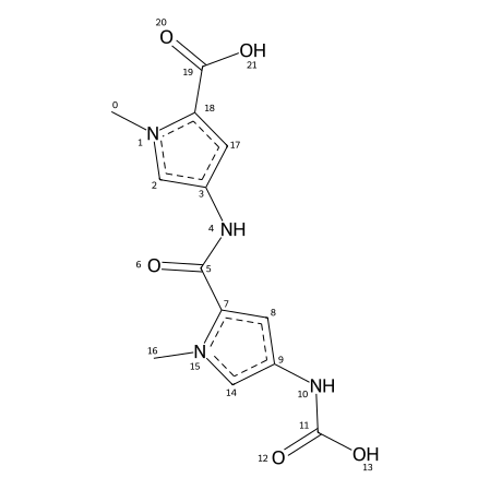 Cn1cc(NC(=O)c2cc(NC(=O)O)cn2C)cc1C(=O)O